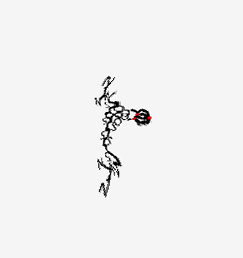 N#CC(C#N)=Nc1ccc(C2=Cc3sc4c(sc5c6sc(-c7ccc(N=C(C#N)C#N)s7)cc6sc45)c3C2(C(=O)OCc2ccccc2)C(=O)OCc2ccccc2)s1